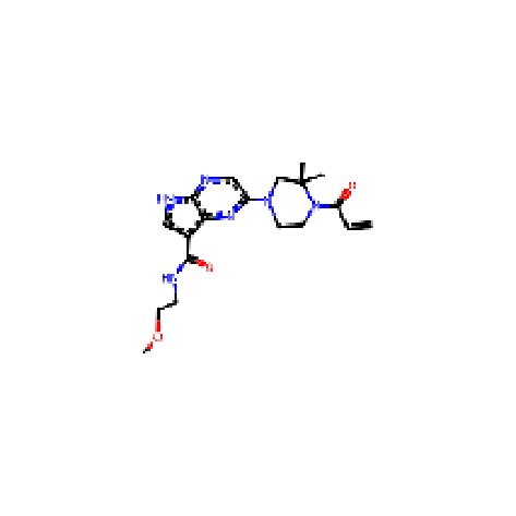 C=CC(=O)N1CCN(c2cnc3[nH]cc(C(=O)NCCOC)c3n2)CC1(C)C